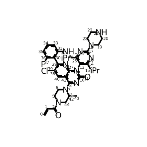 C=CC(=O)N1CCN(c2nc(=O)n(-c3c(C(C)C)nc(N4CCNCC4)nc3C(C)C)c3nc(-c4c(N)cccc4F)c(Cl)cc23)[C@@H](C)C1